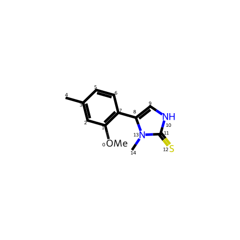 COc1cc(C)ccc1-c1c[nH]c(=S)n1C